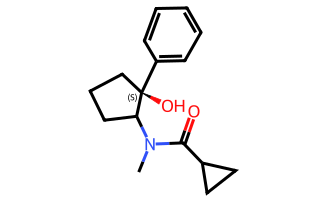 CN(C(=O)C1CC1)C1CCC[C@]1(O)c1ccccc1